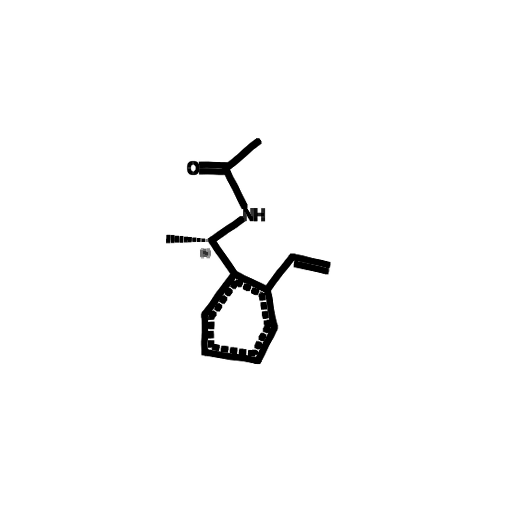 C=Cc1ccccc1[C@H](C)NC(C)=O